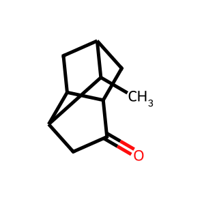 CC1C2CC3C(=O)CC1C3C2